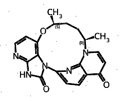 C[C@@H]1CC[C@H](C)Oc2ccnc3[nH]c(=O)n(c23)-c2ccc3c(=O)ccn1c3n2